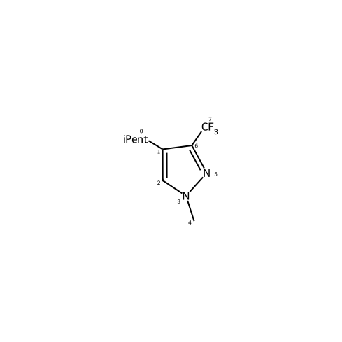 CCCC(C)c1cn(C)nc1C(F)(F)F